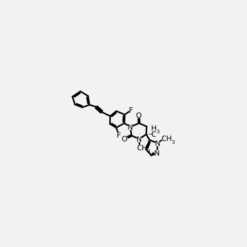 CN1C(=O)N(c2c(F)cc(C#Cc3ccccc3)cc2F)C(=O)C[C@@]1(C)c1ccnn1C